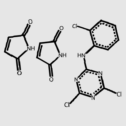 Clc1nc(Cl)nc(Nc2ccccc2Cl)n1.O=C1C=CC(=O)N1.O=C1C=CC(=O)N1